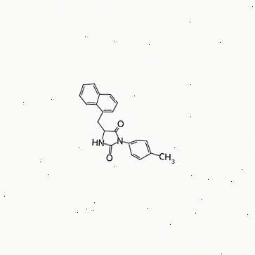 Cc1ccc(N2C(=O)NC(Cc3cccc4ccccc34)C2=O)cc1